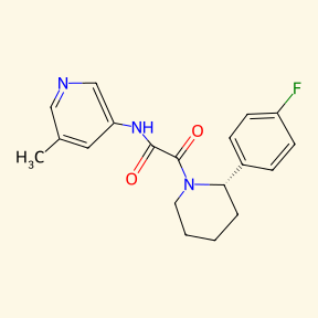 Cc1cncc(NC(=O)C(=O)N2CCCC[C@H]2c2ccc(F)cc2)c1